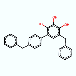 Oc1c(Cc2ccccc2)cc(-c2ccc(Cc3ccccc3)cc2)c(O)c1O